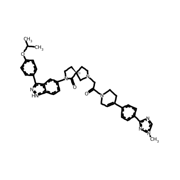 CC(C)Oc1ccc(-c2n[nH]c3ccc(N4CC[C@]5(CCN(CC(=O)N6CC=C(c7ccc(-c8ncn(C)n8)cc7)CC6)C5)C4=O)cc23)cc1